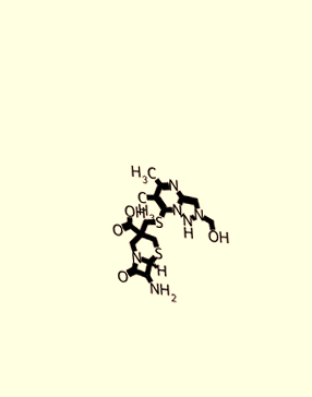 CC1=NC2=CN(CO)NN2C(SCC2(C(=O)O)CS[C@@H]3C(N)C(=O)N3C2)=C1C